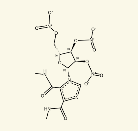 CNC(=O)c1ncn([C@@H]2O[C@H](CO[N+](=O)[O-])[C@@H](O[N+](=O)[O-])[C@H]2O[N+](=O)[O-])c1C(=O)NC